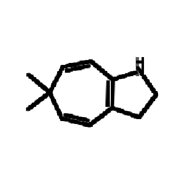 CC1(C)C=CC2=C(C=C1)NCC2